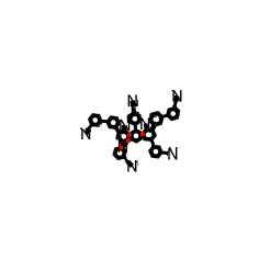 N#Cc1cccc(-c2ccc3c(c2)c2cc(-c4cccc(C#N)c4)ccc2n3-c2cc(C#N)cc(-n3c4ccc(-c5cccc(C#N)c5)cc4c4cc(-c5cccc(C#N)c5)ccc43)c2-c2cccc(C#N)c2)c1